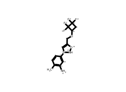 Cc1ccc(N2C=C(COC3CC(F)(F)C3(F)F)ON2)cc1N